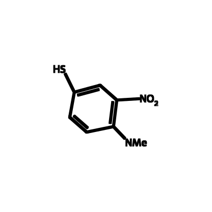 CNc1ccc(S)cc1[N+](=O)[O-]